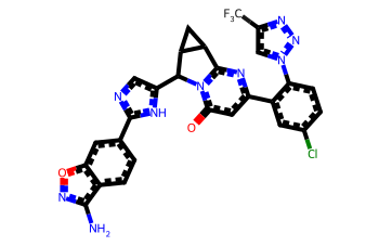 Nc1noc2cc(-c3ncc(C4C5CC5c5nc(-c6cc(Cl)ccc6-n6cc(C(F)(F)F)nn6)cc(=O)n54)[nH]3)ccc12